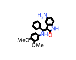 COc1ccc(N/C(=C2\C(=O)Nc3ccc(N)cc32)c2ccccc2)cc1OC